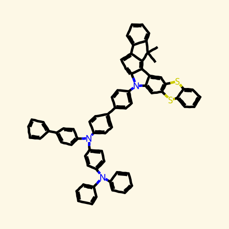 CC1(C)c2ccccc2-c2ccc3c(c21)c1cc2c(cc1n3-c1ccc(-c3ccc(N(c4ccc(-c5ccccc5)cc4)c4ccc(N(c5ccccc5)c5ccccc5)cc4)cc3)cc1)Sc1ccccc1S2